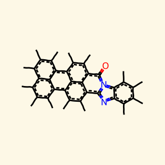 Cc1c(C)c(C)c2c(nc3c4c(C)c(C)c5c6c(C)c(C)c(C)c7c(C)c(C)c(C)c(c8c(C)c(C)c(c(=O)n32)c4c85)c76)c1C